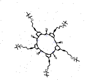 CC(C)(C)[Si](C)(C)OCCCC#Cc1cc2cc(c1)/C(C#N)=C/c1cc(C#CCCCO[Si](C)(C)C(C)(C)C)cc(c1)/C(C#N)=C/c1cc(C#CCCCO[Si](C)(C)C(C)(C)C)cc(c1)/C(C#N)=C/c1cc(C#CCCCO[Si](C)(C)C(C)(C)C)cc(c1)/C(C#N)=C/c1cc(C#CCCCO[Si](C)(C)C(C)(C)C)cc(c1)/C(C#N)=C/2